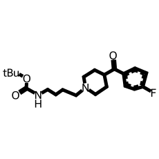 CC(C)(C)OC(=O)NCCCCN1CCC(C(=O)c2ccc(F)cc2)CC1